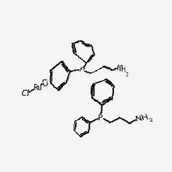 NCCCP(c1ccccc1)c1ccccc1.NCCCP(c1ccccc1)c1ccccc1.[Cl][Ru][Cl]